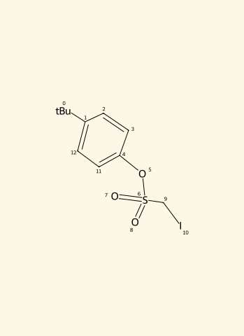 CC(C)(C)c1ccc(OS(=O)(=O)CI)cc1